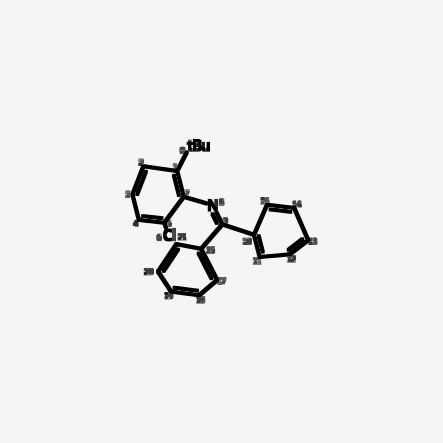 CC(C)(C)c1cccc(Cl)c1N=C(c1ccccc1)c1ccccc1